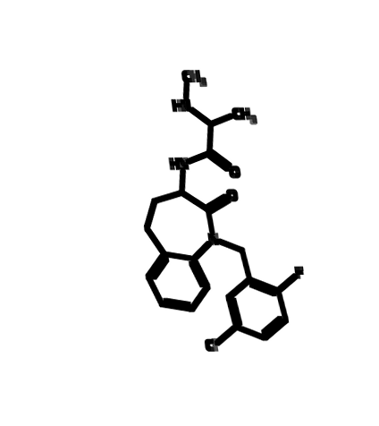 CNC(C)C(=O)NC1CCc2ccccc2N(Cc2cc(Cl)ccc2F)C1=O